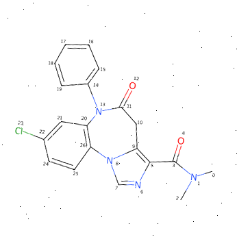 CN(C)C(=O)c1ncn2c1CC(=O)N(c1ccccc1)c1cc(Cl)ccc1-2